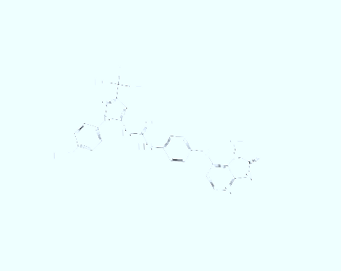 Cc1ccc(-n2nc(C(C)(C)C)cc2NC(=O)Nc2ccc(Oc3ccnc4[nH]c(=O)n(C)c34)cc2)cc1